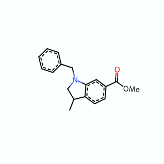 COC(=O)c1ccc2c(c1)N(Cc1ccccc1)CC2C